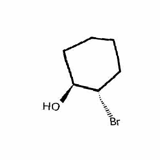 O[C@H]1CCCC[C@@H]1Br